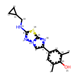 Cc1cc(-c2cn3nc(NCC4CC4)sc3n2)cc(C)c1O